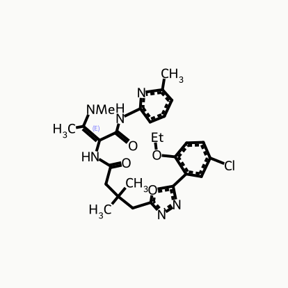 CCOc1ccc(Cl)cc1-c1nnc(CC(C)(C)CC(=O)N/C(C(=O)Nc2cccc(C)n2)=C(\C)NC)o1